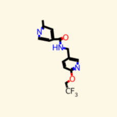 Cc1cc(C(=O)NCc2ccc(OCC(F)(F)F)nc2)ccn1